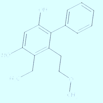 CCc1c(O)cc(O)c(-c2[c]cccc2)c1CCOC